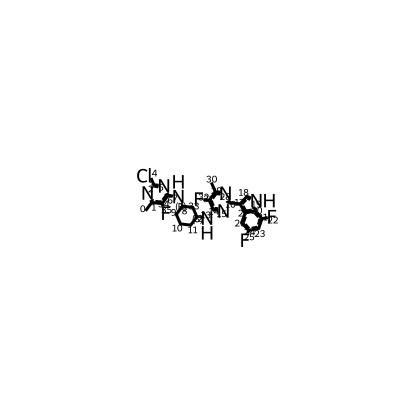 Cc1nc(Cl)nc(N[C@@H]2CCC[C@H](Nc3nc(-c4c[nH]c5c(F)cc(F)cc45)nc(C)c3F)C2)c1F